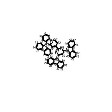 c1ccc([Si](c2ccccc2)(c2ccccc2)c2cc(-c3nc(-n4c5ccccc5c5ccccc54)cc(-n4c5ccccc5c5ccccc54)n3)ccn2)cc1